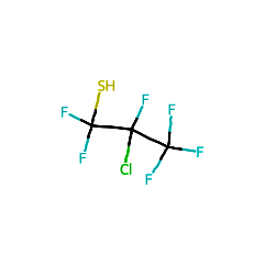 FC(F)(F)C(F)(Cl)C(F)(F)S